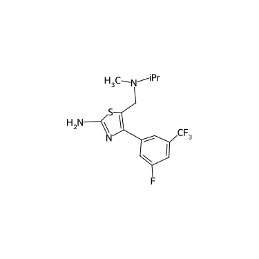 CC(C)N(C)Cc1sc(N)nc1-c1cc(F)cc(C(F)(F)F)c1